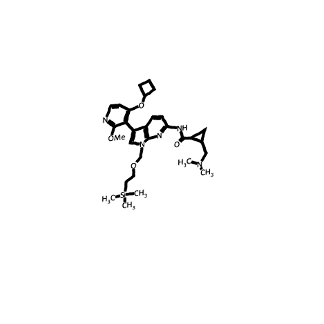 COc1nccc(OC2CCC2)c1-c1cn(COCC[Si](C)(C)C)c2nc(NC(=O)C3CC3CN(C)C)ccc12